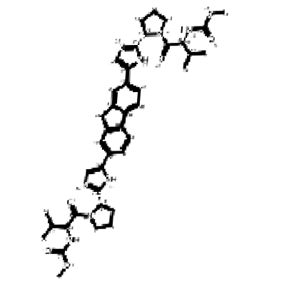 COC(=O)N[C@H](C(=O)N1CCC[C@H]1c1ncc(-c2ccc3c(c2)Cc2cc(-c4cnc([C@@H]5CCCN5C(=O)[C@@H](NC(=O)OC)C(C)C)[nH]4)ccc2-3)[nH]1)C(C)C